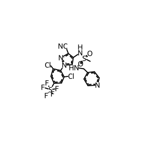 CS(=O)(=O)Nc1c(C#N)nn(-c2c(Cl)cc(S(F)(F)(F)(F)F)cc2Cl)c1NCc1ccncc1